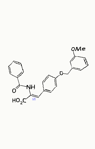 COc1cccc(COc2ccc(/C=C(\NC(=O)c3ccccc3)C(=O)O)cc2)c1